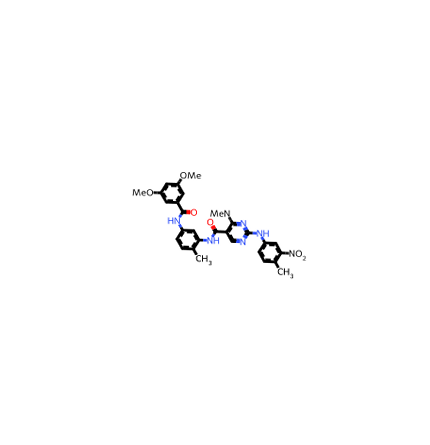 CNc1nc(Nc2ccc(C)c([N+](=O)[O-])c2)ncc1C(=O)Nc1cc(NC(=O)c2cc(OC)cc(OC)c2)ccc1C